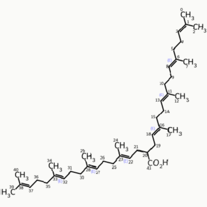 CC(C)=CCC/C(C)=C/CC/C(C)=C/CC/C(C)=C/CC(C/C=C(\C)CC/C=C(\C)CC/C=C(\C)CCC=C(C)C)C(=O)O